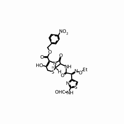 CCON=C(C(=O)NC1C(=O)N2C(C(=O)OCc3ccc([N+](=O)[O-])cc3)=C(O)CS[C@@H]12)c1csc(NC=O)n1